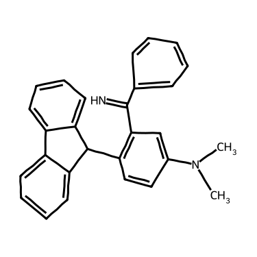 CN(C)c1ccc(C2c3ccccc3-c3ccccc32)c(C(=N)c2ccccc2)c1